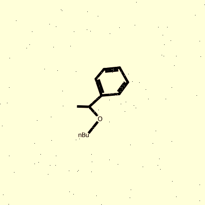 CCCCOC(C)c1ccccc1